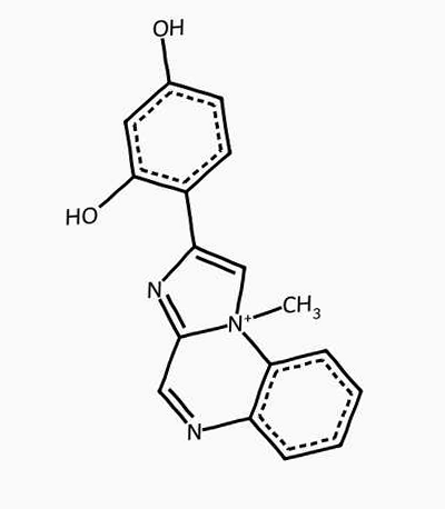 C[N+]12C=C(c3ccc(O)cc3O)N=C1C=Nc1ccccc12